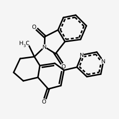 CC1(N2C(=O)c3ccccc3C2=O)CCCC2C(=O)C=C(c3ccncn3)C=C21